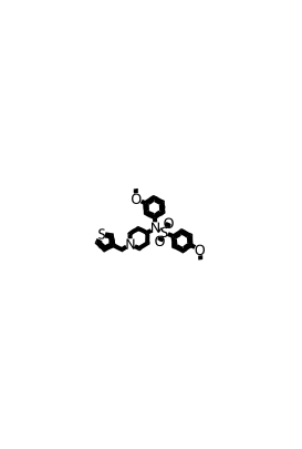 COc1ccc(S(=O)(=O)N(c2cccc(OC)c2)C2CCN(Cc3ccsc3)CC2)cc1